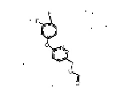 O=COCc1ccc(Oc2ccc(F)c(F)c2)nc1